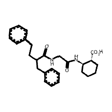 O=C(CNC(=O)C(CCc1ccccc1)Cc1ccccc1)N[C@@H]1CCCC[C@H]1C(=O)O